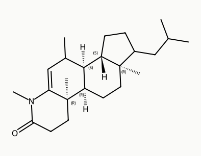 CC(C)CC1CC[C@H]2[C@@H]3C(C)C=C4N(C)C(=O)CC[C@]4(C)[C@@H]3CC[C@]12C